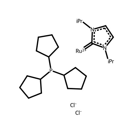 C1CCC(P(C2CCCC2)C2CCCC2)C1.CC(C)n1ccn(C(C)C)[c]1=[Ru+2].[Cl-].[Cl-]